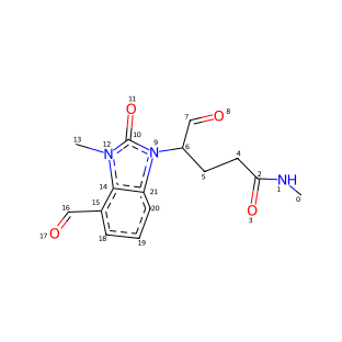 CNC(=O)CCC(C=O)n1c(=O)n(C)c2c(C=O)cccc21